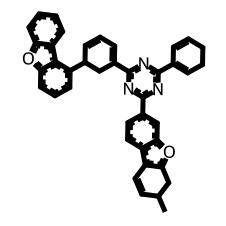 CC1C=Cc2c(oc3cc(-c4nc(C5=CCCC=C5)nc(C5=CC=CC(c6cccc7oc8ccccc8c67)C5)n4)ccc23)C1